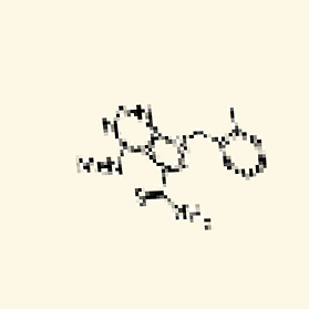 CNc1ncnc2c1c(C(N)=S)cn2Cc1ccccc1C